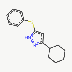 c1ccc(Sc2cc(C3CCCCC3)n[nH]2)cc1